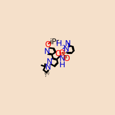 CC(C)Oc1ccc(-c2nc(N3C[C@H](C)CC3(C)C)ccc2C(=O)NS(=O)(=O)c2cccc(N)n2)cn1